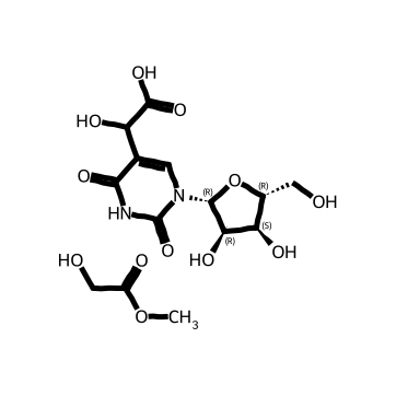 COC(=O)CO.O=C(O)C(O)c1cn([C@@H]2O[C@H](CO)[C@@H](O)[C@H]2O)c(=O)[nH]c1=O